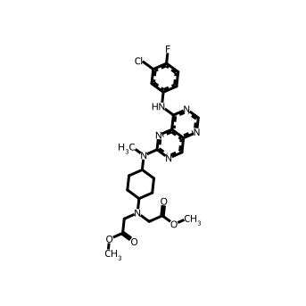 COC(=O)CN(CC(=O)OC)C1CCC(N(C)c2ncc3ncnc(Nc4ccc(F)c(Cl)c4)c3n2)CC1